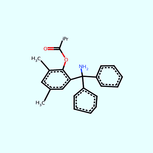 Cc1cc(C)c(OC(=O)C(C)C)c(C(N)(c2ccccc2)c2ccccc2)c1